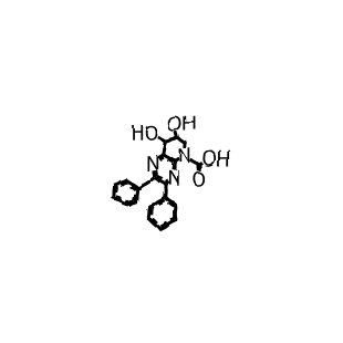 O=C(O)N1CC(O)C(O)c2nc(-c3ccccc3)c(-c3ccccc3)nc21